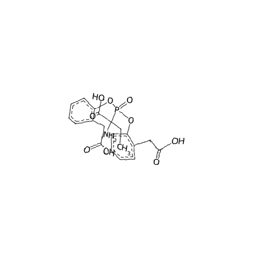 CCC(N)(C(=O)O)P(=O)(Oc1ccccc1CC(=O)O)Oc1ccccc1CC(=O)O